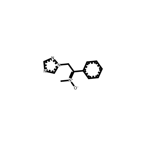 C[N+]([O-])=C(Cn1cncn1)c1ccccc1